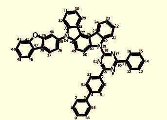 c1ccc(-c2ccc(-c3nc(-c4ccccc4)nc(-n4c5ccccc5c5c6c7ccccc7n(-c7ccc8c(c7)oc7ccccc78)c6ccc54)n3)cc2)cc1